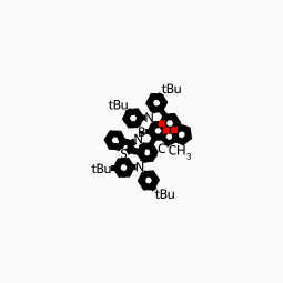 CC(C)(C)c1ccc(N(c2ccc(C(C)(C)C)cc2)c2ccc3c4c2c2sc5ccccc5c2n4B2c4ccc(C(C)(C)C)cc4N(c4ccc(C(C)(C)C)cc4-c4ccccc4)c4cc5c(c-3c42)C(C)(C)c2ccccc2-5)cc1